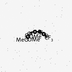 CO[C@@H]1[C@@H](OC)[C@H](C)O[C@@H](O/N=C/c2ccc(-c3ccn(-c4ccc(OC(F)(F)F)cc4)n3)cc2)[C@@H]1OC